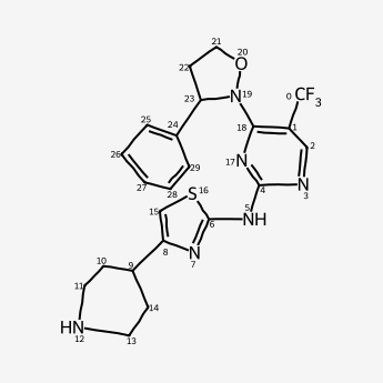 FC(F)(F)c1cnc(Nc2nc(C3CCNCC3)cs2)nc1N1OCCC1c1ccccc1